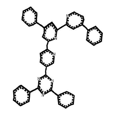 c1ccc(-c2ccnc(-c3cc(-c4ccccc4)cc(-c4ccc(-c5nc(-c6ccccc6)nc(-c6ccccc6)n5)cn4)n3)c2)cc1